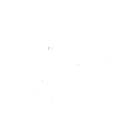 CC(C)(C)c1cccc(NC(=O)[C@H]2CCCN(C(=O)c3ccc(Cl)cc3)[C@H]2c2ccc(NC3CCCC3)cc2)c1